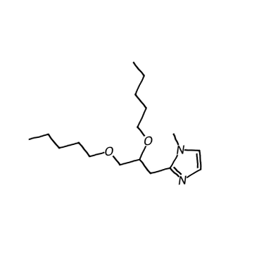 CCCCCOCC(Cc1nccn1C)OCCCCC